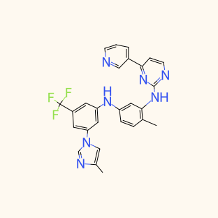 Cc1cn(-c2cc(Nc3ccc(C)c(Nc4nccc(-c5cccnc5)n4)c3)cc(C(F)(F)F)c2)cn1